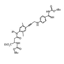 CCOC(=O)C(CC(=O)N(c1cc(C)c(C#CCNc2ccc(C(=N)NC(=O)OC(C)(C)C)cc2)cc1C)C(C)C)NC(=O)OC(C)(C)C